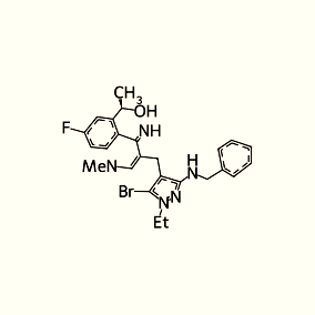 CCn1nc(NCc2ccccc2)c(C/C(=C/NC)C(=N)c2ccc(F)cc2[C@@H](C)O)c1Br